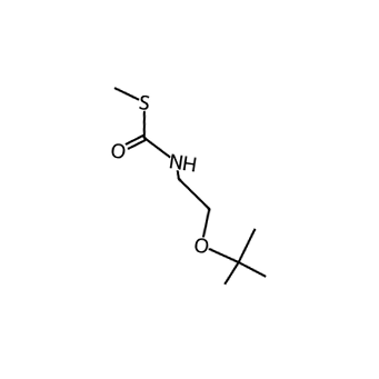 CSC(=O)NCCOC(C)(C)C